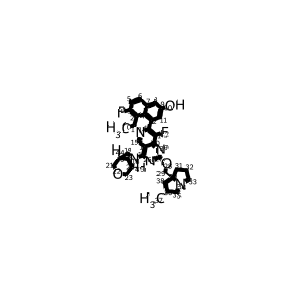 CCc1c(F)ccc2cc(O)cc(-c3ncc4c(N5C[C@@H]6COC[C@H]5C6)nc(OC[C@@]56CCCN5C[C@H](C)C6)nc4c3F)c12